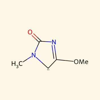 COC1=NC(=O)N(C)[C]1